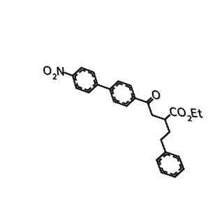 CCOC(=O)C(CCc1ccccc1)CC(=O)c1ccc(-c2ccc([N+](=O)[O-])cc2)cc1